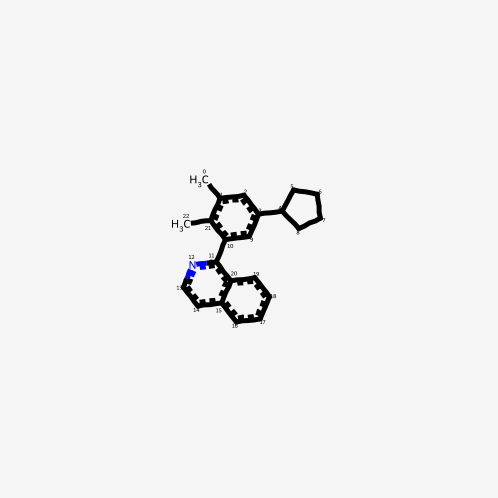 Cc1cc(C2CCCC2)cc(-c2nccc3ccccc23)c1C